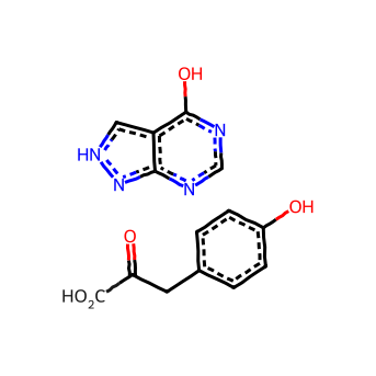 O=C(O)C(=O)Cc1ccc(O)cc1.Oc1ncnc2n[nH]cc12